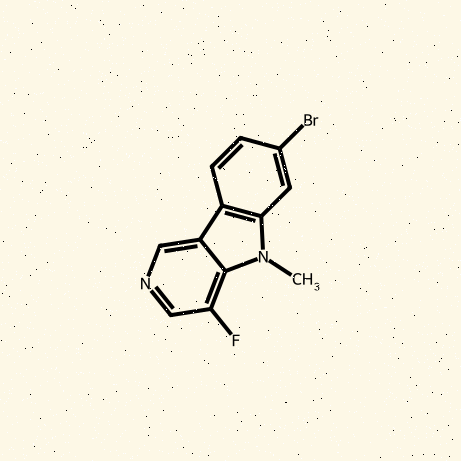 Cn1c2cc(Br)ccc2c2cncc(F)c21